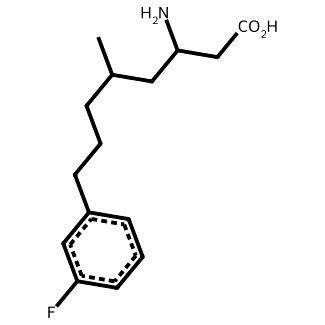 CC(CCCc1cccc(F)c1)CC(N)CC(=O)O